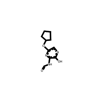 O=CNc1nc(OC2CCCC2)cnc1O